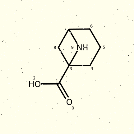 O=C(O)C12CCCC(C1)N2